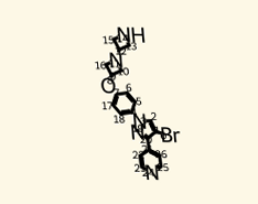 Brc1cn(-c2ccc(OC3CN(C4CNC4)C3)cc2)nc1-c1ccncc1